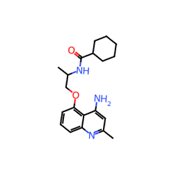 Cc1cc(N)c2c(OCC(C)NC(=O)C3CCCCC3)cccc2n1